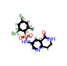 O=C1NCCc2ncc(NS(=O)(=O)c3c(F)cc(F)cc3Br)cc21